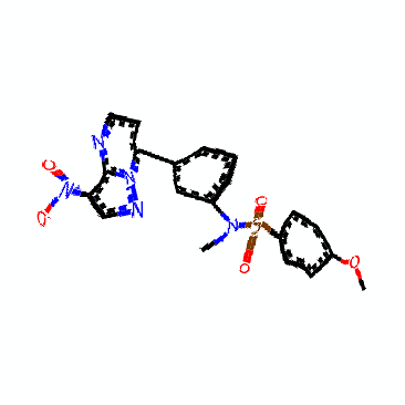 COc1ccc(S(=O)(=O)N(C)c2cccc(-c3ccnc4c([N+](=O)[O-])cnn34)c2)cc1